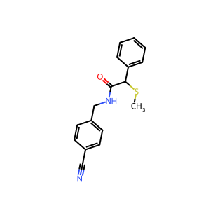 CSC(C(=O)NCc1ccc(C#N)cc1)c1ccccc1